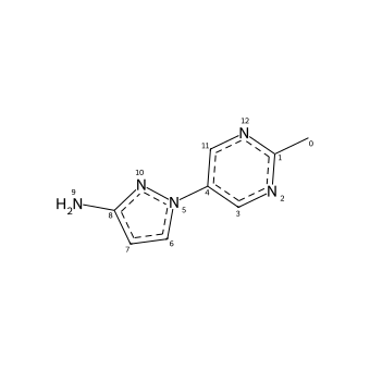 Cc1ncc(-n2ccc(N)n2)cn1